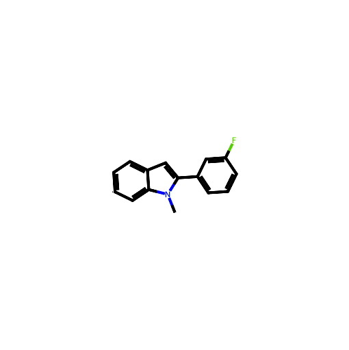 Cn1c(-c2cccc(F)c2)cc2cc[c]cc21